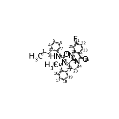 CCCc1ccccc1NC(=O)N(C(C)c1ccccc1)C1CCCn2c1nc1cc(F)ccc1c2=O